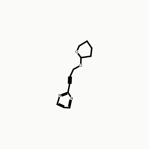 C(#Cc1ncccn1)COC1CCCCO1